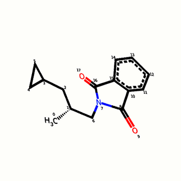 C[C@H](CC1CC1)CN1C(=O)c2ccccc2C1=O